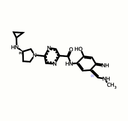 CN/C=C1/C=C(NC(=O)c2cnc(N3CC[C@@H](NC4CC4)C3)cn2)C(O)=CC1=N